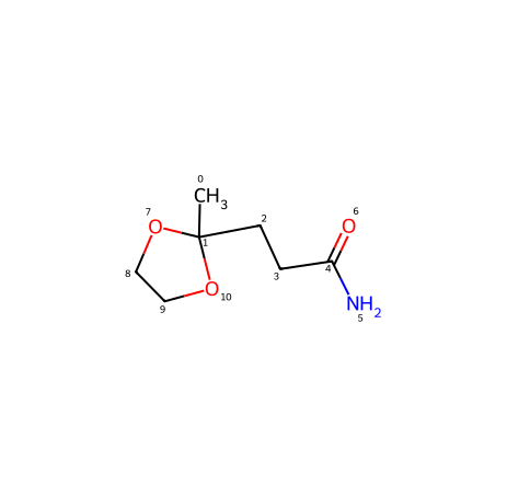 CC1(CCC(N)=O)OCCO1